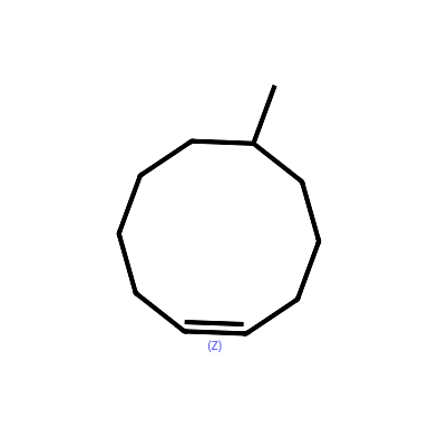 CC1CCC/C=C\CCCC1